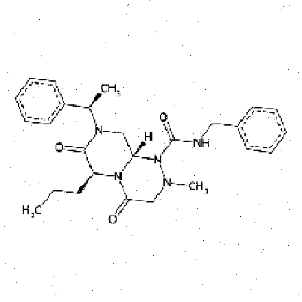 CCC[C@H]1C(=O)N([C@H](C)c2ccccc2)C[C@H]2N1C(=O)CN(C)N2C(=O)NCc1ccccc1